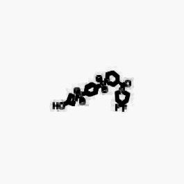 O=C([C@@H]1CCCN(S(=O)(=O)c2ccc(S(=O)(=O)N3CC(O)C3)cc2)C1)N1CCC(F)(F)CC1